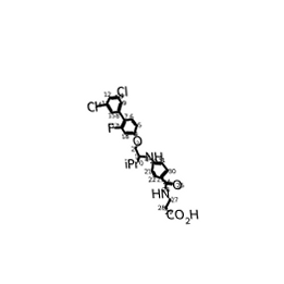 CC(C)C(COc1ccc(-c2cc(Cl)cc(Cl)c2)c(F)c1)Nc1ccc(C(=O)NCCC(=O)O)cc1